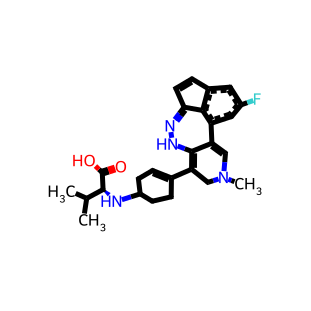 CC(C)[C@H](NC1CC=C(C2=C3NN=C4C=Cc5cc(F)cc(c54)C3=CN(C)C2)CC1)C(=O)O